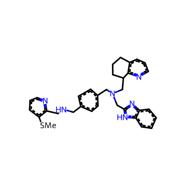 CSc1cccnc1CNCc1ccc(CN(Cc2nc3ccccc3[nH]2)CC2CCCc3cccnc32)cc1